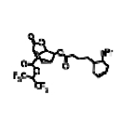 CCCC1CC=CCC1CCCC(=O)OC1C2CC3C1OC(=O)C3C2C(=O)OC(C(F)(F)F)C(F)(F)F